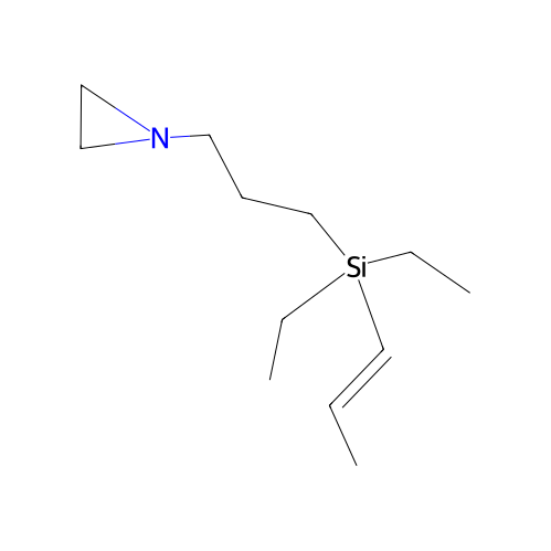 CC=C[Si](CC)(CC)CCCN1CC1